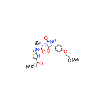 CC[C@@H](C)[C@@H](C(=O)Nc1nc(C(=O)OC)cs1)N1C(=O)N[C@H](c2ccc(OCCOC)cc2)C1=O